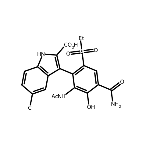 CCS(=O)(=O)c1cc(C(N)=O)c(O)c(NC(C)=O)c1-c1c(C(=O)O)[nH]c2ccc(Cl)cc12